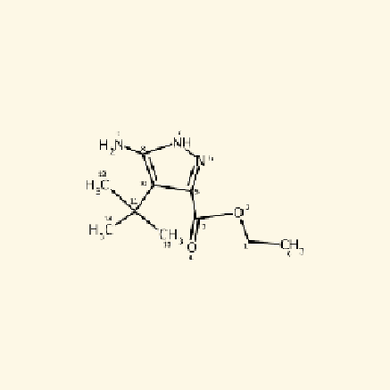 CCOC(=O)c1n[nH]c(N)c1C(C)(C)C